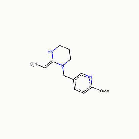 COc1ccc(CN2CCCNC2=C[N+](=O)[O-])cn1